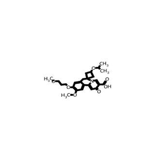 COCCCOc1cc2c(cc1OC)-c1cc(=O)c(C(=O)O)cn1C1(C2)CC(OC(C)C)C1